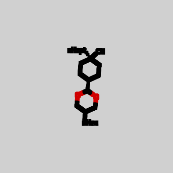 CCCCCCC[C@]1(C#N)CC[C@@H](C2OCC(CCCCCC)CO2)CC1